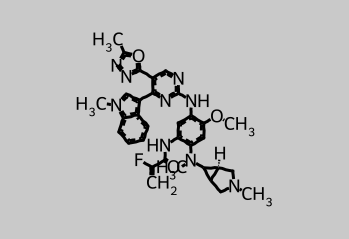 C=C(F)C(=O)Nc1cc(Nc2ncc(-c3nnc(C)o3)c(-c3cn(C)c4ccccc34)n2)c(OC)cc1N(C)C1C2CN(C)C[C@@H]21